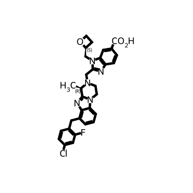 C[C@@H]1c2nc3c(Cc4ccc(Cl)cc4F)cccc3n2CCN1Cc1nc2ccc(C(=O)O)cc2n1C[C@@H]1CCO1